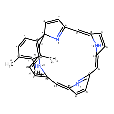 Cc1ccc(C23C=CC(=N2)C=c2ccc([nH]2)=CC2=NC(=Cc4ccc([nH]4)C3)C=C2)c(C)c1C